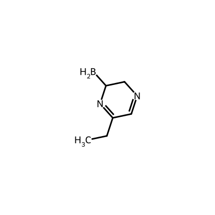 BC1CN=CC(CC)=N1